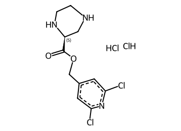 Cl.Cl.O=C(OCc1cc(Cl)nc(Cl)c1)[C@@H]1CNCCN1